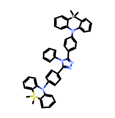 C[Si]1(C)c2ccccc2N(c2ccc(-c3nnc(-c4ccc(N5c6ccccc6S(C)(C)c6ccccc65)cc4)n3-c3ccccc3)cc2)c2ccccc21